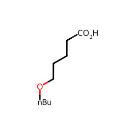 CCCCOCCCCC(=O)O